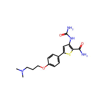 CN(C)CCCOc1ccc(-c2cc(NC(N)=O)c(C(N)=O)s2)cc1